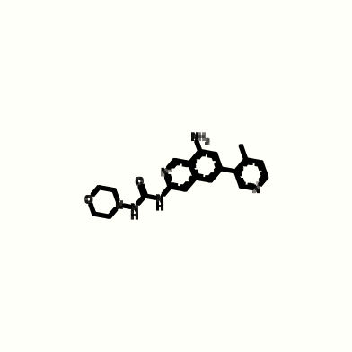 Cc1ccncc1-c1cc(N)c2cnc(NC(=O)NN3CCOCC3)cc2c1